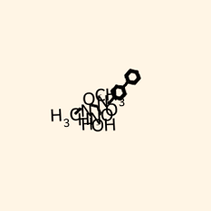 CCNC(=O)C(C(=O)NO)N(C)C(=O)c1ccc(-c2ccccc2)cc1